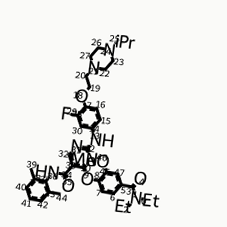 CCN(CC)C(=O)c1ccc(Oc2nc(Nc3ccc(OCCN4CCN(C(C)C)CC4)c(F)c3)ncc2C(=O)Nc2c(C)cccc2C)c(OC)c1